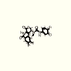 CN(C(=O)Nc1ccc(F)c(Cl)c1)[C@@H]1COC(=O)c2[nH]c(=O)c3cc(F)c(F)cc3c21